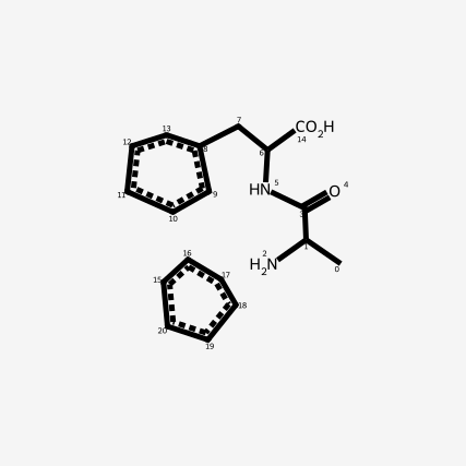 CC(N)C(=O)NC(Cc1ccccc1)C(=O)O.c1ccccc1